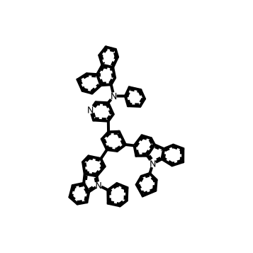 c1ccc(N(c2cncc(-c3cc(-c4ccc5c6ccccc6n(-c6ccccc6)c5c4)cc(-c4ccc5c6ccccc6n(-c6ccccc6)c5c4)c3)c2)c2cc3ccccc3c3ccccc23)cc1